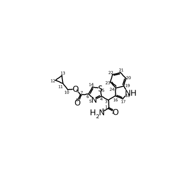 NC(=O)C(c1nc(C(=O)OCC2CC2)cs1)c1c[nH]c2ccccc12